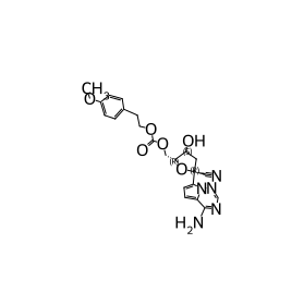 COc1ccc(CCOC(=O)OC[C@H]2O[C@@](C#N)(c3ccc4c(N)ncnn34)C[C@@H]2O)cc1